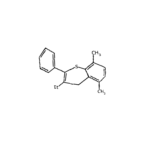 CCC1=C(c2ccccc2)Sc2c(C)ccc(C)c2C1